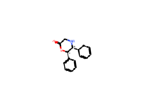 O=C1CN[C@@H](C2C=CC=CC2)[C@@H](c2ccccc2)O1